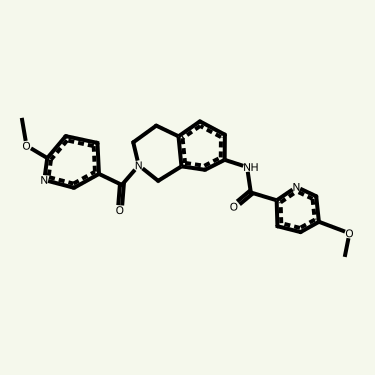 COc1ccc(C(=O)Nc2ccc3c(c2)CN(C(=O)c2ccc(OC)nc2)CC3)nc1